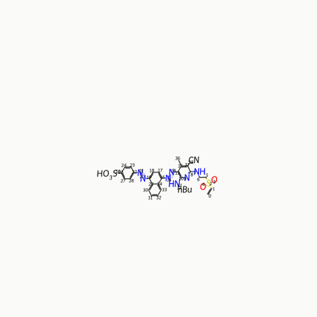 C=CS(=O)(=O)CCNc1nc(NCCCC)c(/N=N/c2ccc(/N=N/c3ccc(S(=O)(=O)O)cc3)c3ccccc23)c(C)c1C#N